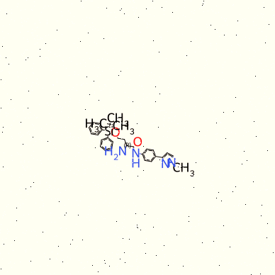 Cn1ccc(-c2ccc(NC(=O)[C@H](N)CCO[Si](c3ccccc3)(c3ccccc3)C(C)(C)C)cc2)n1